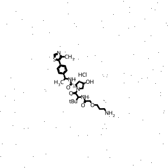 Cc1ncsc1-c1ccc(C(C)NC(=O)[C@@H]2C[C@@H](O)CN2C(=O)C(NC(=O)COCCCN)C(C)(C)C)cc1.Cl